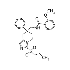 CCCS(=O)(=O)n1ncc2c1CCC(CNC(=O)c1ccccc1OC)(c1ccccc1)C2